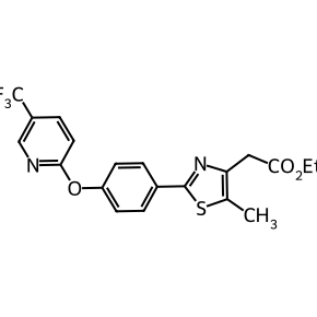 CCOC(=O)Cc1nc(-c2ccc(Oc3ccc(C(F)(F)F)cn3)cc2)sc1C